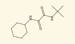 CC(C)(C)NC(=O)C(=O)NC1CCCCC1